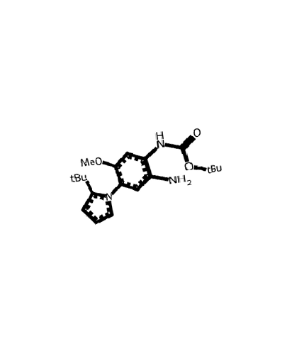 COc1cc(NC(=O)OC(C)(C)C)c(N)cc1-n1cccc1C(C)(C)C